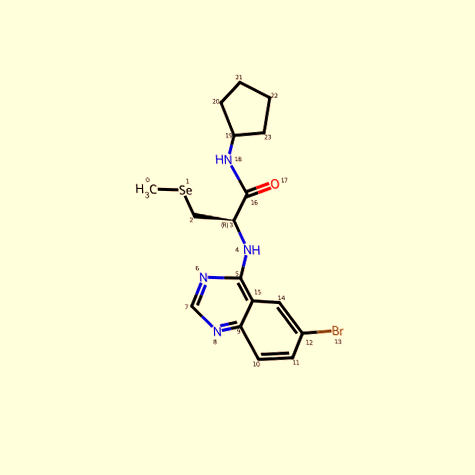 C[Se]C[C@H](Nc1ncnc2ccc(Br)cc12)C(=O)NC1CCCC1